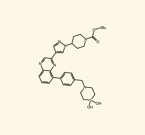 CC(C)(C)OC(=O)N1CCC(n2cc(-c3cnc4cccc(-c5ccc(CN6CCS(O)(O)CC6)cc5)c4n3)cn2)CC1